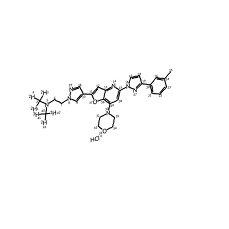 Cl.[2H]C([2H])([2H])N(CCn1cc(-c2cc3nc(-n4ccc(-c5cccc(C)c5)n4)cc(N4CCOCC4)c3o2)cn1)C([2H])([2H])[2H]